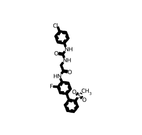 CS(=O)(=O)c1ccccc1-c1ccc(NC(=O)CNC(=O)Nc2ccc(Cl)cc2)c(F)c1